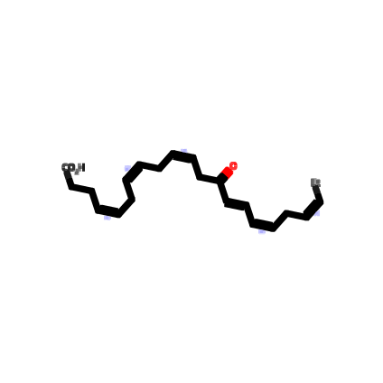 CC/C=C\C/C=C\C=CC(=O)C/C=C\C/C=C\C/C=C\CCC(=O)O